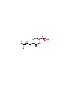 CC(C)=CCC1CCC(CO)CC1